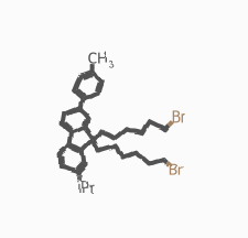 Cc1ccc(-c2ccc3c(c2)C(CCCCCCBr)(CCCCCCBr)c2cc(C(C)C)ccc2-3)cc1